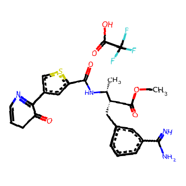 COC(=O)[C@H](Cc1cccc(C(=N)N)c1)[C@@H](C)NC(=O)c1cc(C2=NC=CCC2=O)cs1.O=C(O)C(F)(F)F